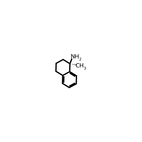 C[C@@]1(N)CCCc2ccccc21